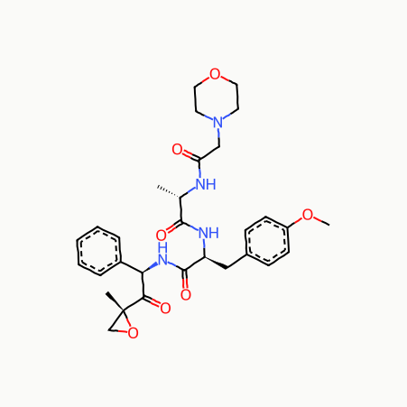 COc1ccc(C[C@H](NC(=O)[C@H](C)NC(=O)CN2CCOCC2)C(=O)N[C@@H](C(=O)[C@@]2(C)CO2)c2ccccc2)cc1